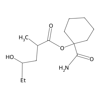 CCC(O)CC(C)C(=O)OC1(C(N)=O)CCCCC1